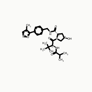 Cc1cnoc1-c1ccc(CNC(=O)[C@@H]2C[C@@H](O)CN2C(=O)[C@@H](NC(=O)C(C)C)C(C)(C)C)cc1